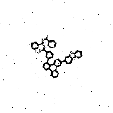 CC(/N=C(\C=C(/N)c1cccc(-c2cccc3c4ccccc4c4cc(-c5ccc6c(c5)sc5ccccc56)ccc4c23)c1)c1ccccc1)C1=CC=CCC1